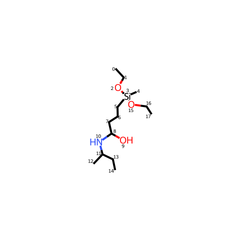 CCO[Si](C)(CCCC(O)NC(C)CC)OCC